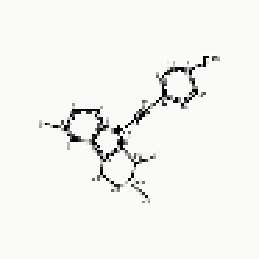 Cc1ccc2c(c1)c1c(n2C#Cc2ccc(F)cc2)C(C)N(C)CC1